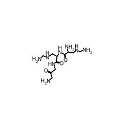 NCNCC(N)C(=O)NC(CNCN)C(=O)NCC(=O)CN